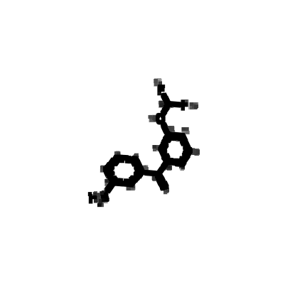 Bc1cccc(C(=C)c2cccc(OC(F)F)c2)c1